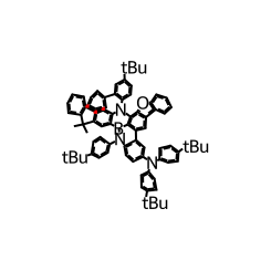 CC(C)(C)c1ccc(N2B3c4cc5c(cc4N(c4ccc(C(C)(C)C)cc4-c4ccccc4)c4c3c(cc3c4oc4ccccc43)-c3cc(N(c4ccc(C(C)(C)C)cc4)c4ccc(C(C)(C)C)cc4)ccc32)-c2ccccc2C5(C)C)cc1